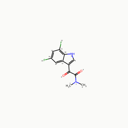 CN(C)C(=O)C(=O)c1c[nH]c2c(F)cc(F)cc12